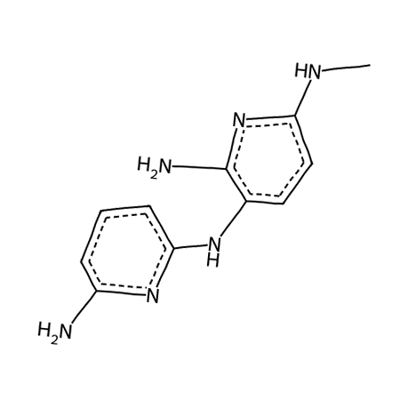 CNc1ccc(Nc2cccc(N)n2)c(N)n1